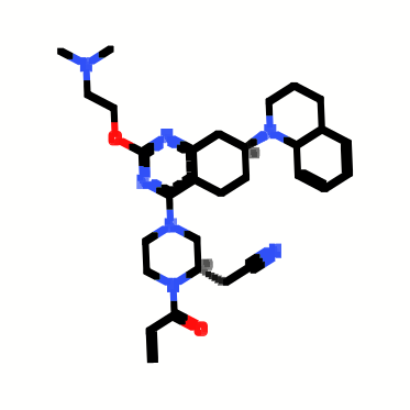 C=CC(=O)N1CCN(c2nc(OCCN(C)C)nc3c2CC[C@H](N2CCCC4C=CC=CC42)C3)C[C@@H]1CC#N